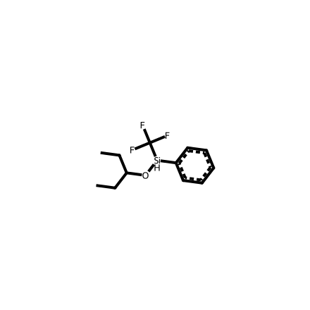 CCC(CC)O[SiH](c1ccccc1)C(F)(F)F